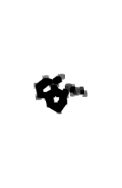 COc1cccc2c1N(I)C=CC2